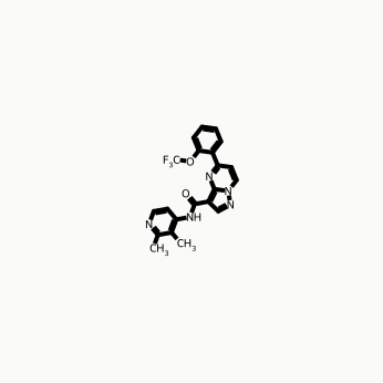 Cc1nccc(NC(=O)c2cnn3ccc(-c4ccccc4OC(F)(F)F)nc23)c1C